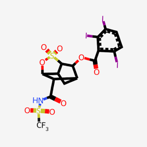 O=C(OC1C2CC3C(OS(=O)(=O)C31)C2C(=O)NS(=O)(=O)C(F)(F)F)c1c(I)ccc(I)c1I